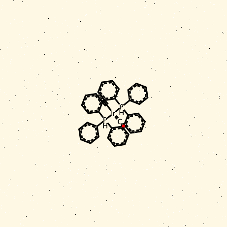 N#[C][Ir](=[C]=O)([PH](c1ccccc1)(c1ccccc1)c1ccccc1)[PH](c1ccccc1)(c1ccccc1)c1ccccc1